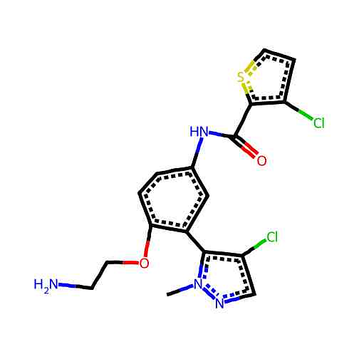 Cn1ncc(Cl)c1-c1cc(NC(=O)c2sccc2Cl)ccc1OCCN